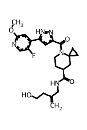 C=C(CCO)CNC(=O)[C@H]1CCN(C(=O)c2cc(-c3cc(OC)ncc3F)[nH]n2)C2(CC2)C1